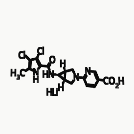 Cc1[nH]c(C(=O)N[C@H]2[C@@H]3CN(c4ccc(C(=O)O)cn4)C[C@@H]32)c(Cl)c1Cl.[LiH]